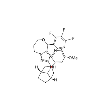 COc1cc(N2C[C@H]3CC[C@@H](C2)C3Nc2nc3n(n2)CCCO[C@H]3c2ccc(F)c(F)c2F)cnn1